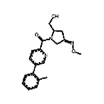 CO/N=C1/CC(CO)N(C(=O)c2ccc(-c3ccccc3C)cn2)C1